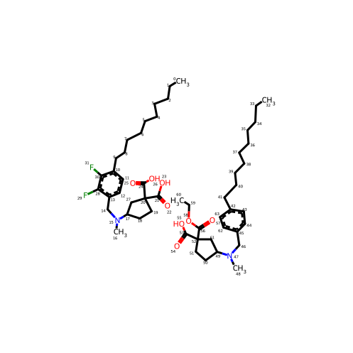 CCCCCCCCCCc1ccc(CN(C)C2CCC(C(=O)O)(C(=O)O)C2)c(F)c1F.CCCCCCCCCCc1ccc(CN(C)C2CCC(C(=O)O)(C(=O)OCC)C2)cc1